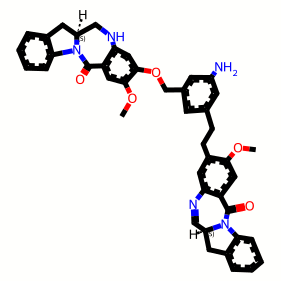 COc1cc2c(cc1CCc1cc(N)cc(COc3cc4c(cc3OC)C(=O)N3c5ccccc5C[C@H]3CN4)c1)N=C[C@@H]1Cc3ccccc3N1C2=O